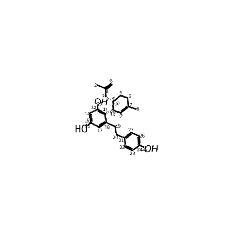 C=C(C)C[C@@H]1CCC(C)=C[C@@H]1c1c(O)cc(O)cc1CCc1ccc(O)cc1